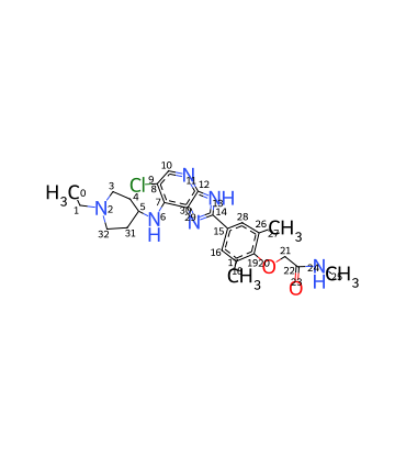 CCN1CCC(Nc2c(Cl)cnc3[nH]c(-c4cc(C)c(OCC(=O)NC)c(C)c4)nc23)CC1